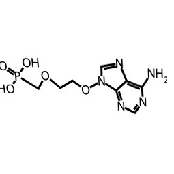 Nc1ncnc2c1ncn2OCCOCP(=O)(O)O